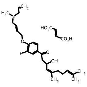 C=CCN(C)CC=CCOc1ccc(C(=O)CC(O)C=C(C)CCC=C(C)C)cc1F.O=C(O)C=CC(=O)O